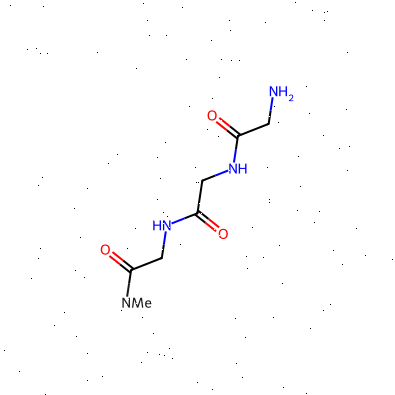 CNC(=O)CNC(=O)CNC(=O)CN